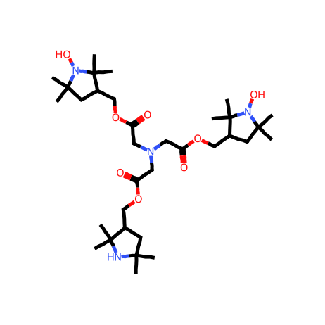 CC1(C)CC(COC(=O)CN(CC(=O)OCC2CC(C)(C)N(O)C2(C)C)CC(=O)OCC2CC(C)(C)N(O)C2(C)C)C(C)(C)N1